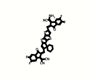 N#CC(C#N)=C1/C(=C/C2=Cc3sc4c(sc5cc(/C=C6\C(=O)c7cc(F)c(F)cc7\C6=C(/N)C#N)sc54)c3C23CCCCC3)C(=O)c2cc(F)c(F)cc21